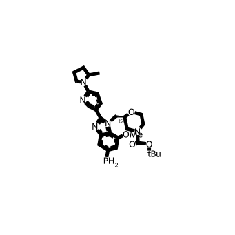 COc1cc(P)cc2nc(-c3ccc(N4CCCC4C)nc3)n(C[C@@H]3CN(C(=O)OC(C)(C)C)CCO3)c12